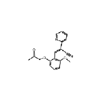 COc1cccc(OCC(C)=O)c1/C=C(\C#N)c1ccccn1